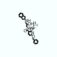 CCOc1nc(OCc2ccccc2)ccc1C(=O)NC[C@@H](O)CNC1Cc2ccccc2C1